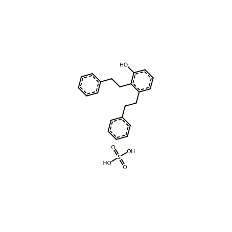 O=S(=O)(O)O.Oc1cccc(CCc2ccccc2)c1CCc1ccccc1